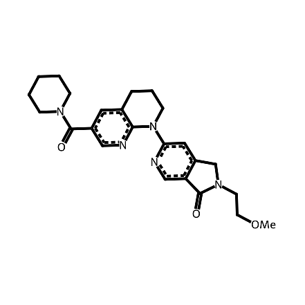 COCCN1Cc2cc(N3CCCc4cc(C(=O)N5CCCCC5)cnc43)ncc2C1=O